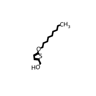 CCCCCCCCCOc1ccc(CO)s1